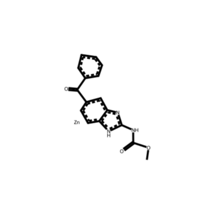 COC(=O)Nc1nc2cc(C(=O)c3ccccc3)ccc2[nH]1.[Zn]